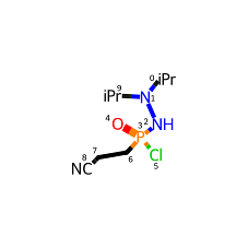 CC(C)N(NP(=O)(Cl)CCC#N)C(C)C